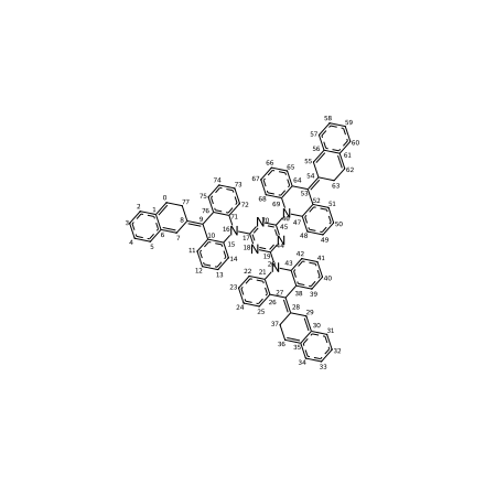 C1=c2ccccc2=CC(=C2c3ccccc3N(c3nc(N4c5ccccc5C(=C5C=c6ccccc6=CC5)c5ccccc54)nc(N4c5ccccc5C(=C5C=c6ccccc6=CC5)c5ccccc54)n3)c3ccccc32)C1